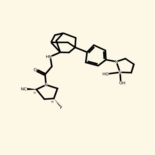 N#C[C@@H]1C[C@@H](F)CN1C(=O)CNC12CC3CC1CC(c1ccc(N4CCCS4(O)O)cc1)(C3)C2